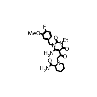 CCn1c(=O)c(C(=O)CN2CCCCC2C(N)=O)c(N)n(Cc2ccc(F)c(OC)c2)c1=O